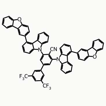 N#Cc1c(-n2c3ccccc3c3c(-c4ccc5oc6ccccc6c5c4)cccc32)cc(-c2cc(C(F)(F)F)cc(C(F)(F)F)c2)cc1-n1c2ccccc2c2c(-c3ccc4oc5ccccc5c4c3)cccc21